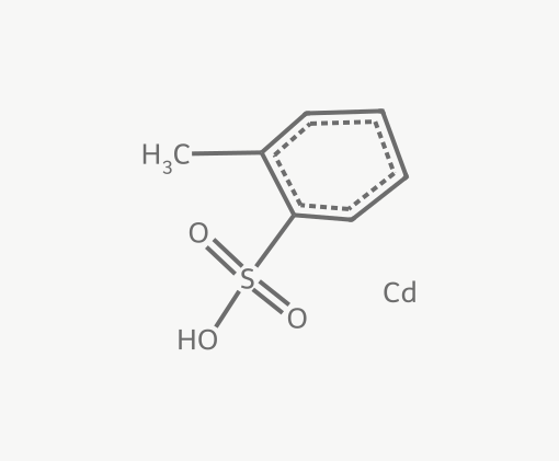 Cc1ccccc1S(=O)(=O)O.[Cd]